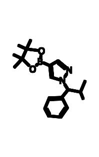 CC(C)C(c1ccccc1)n1cc(B2OC(C)(C)C(C)(C)O2)cn1